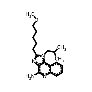 COCCCCCc1nc2c(N)nc3ccccc3c2n1CC(C)C